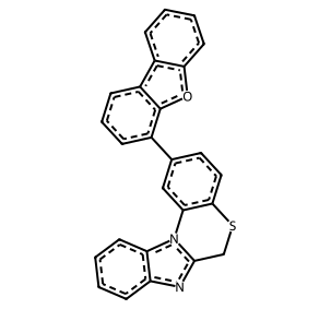 c1ccc2c(c1)nc1n2-c2cc(-c3cccc4c3oc3ccccc34)ccc2SC1